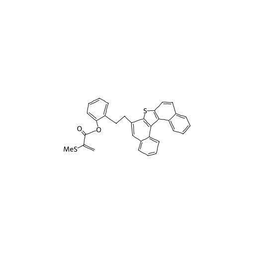 C=C(SC)C(=O)Oc1ccccc1CCc1cc2ccccc2c2c1sc1ccc3ccccc3c12